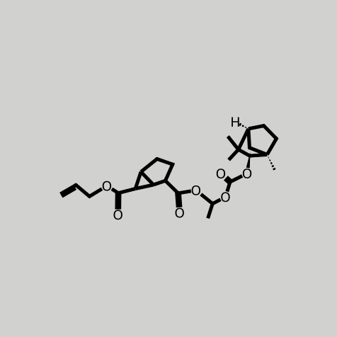 C=CCOC(=O)C1C2CCC(C(=O)OC(C)OC(=O)O[C@H]3C(C)(C)[C@H]4CC[C@]3(C)C4)C21